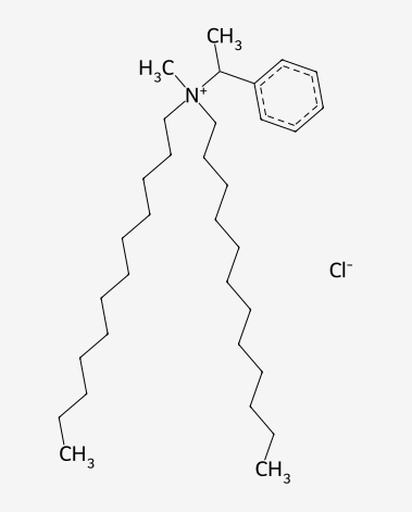 CCCCCCCCCCCC[N+](C)(CCCCCCCCCCCC)C(C)c1ccccc1.[Cl-]